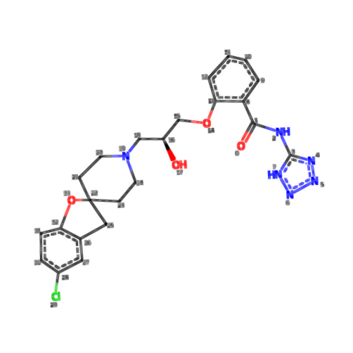 O=C(Nc1nnn[nH]1)c1ccccc1OC[C@@H](O)CN1CCC2(CC1)Cc1cc(Cl)ccc1O2